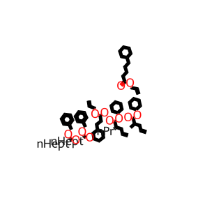 C=CCC(C)C(=O)OC1CCCCC1.C=CCC(CCC)C(=O)OC1CCCCC1.C=CCOC(=O)CCC1CCCCC1.C=CCOC(=O)CCCCC1CCCCC1.CCCCCCCC(=O)OCc1ccccc1.CCCCCCCC(=O)OCc1ccccc1